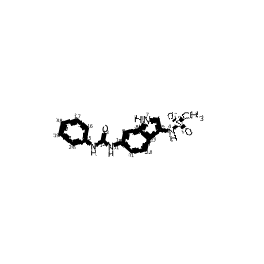 CS(=O)(=O)Nc1c[nH]c2cc(NC(=O)Nc3ccccc3)ccc12